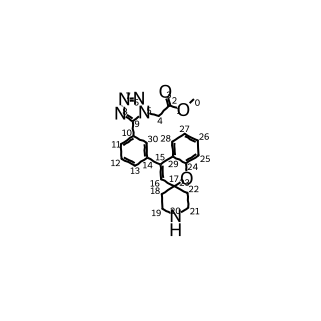 COC(=O)Cn1nnnc1-c1cccc(C2=CC3(CCNCC3)Oc3ccccc32)c1